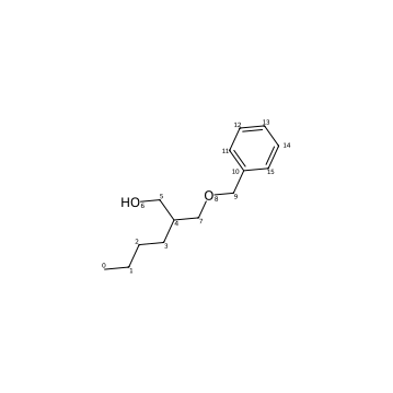 CCCCC(CO)COCc1ccccc1